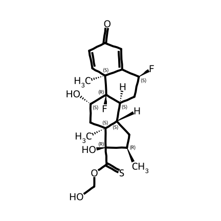 C[C@@H]1C[C@H]2[C@@H]3C[C@H](F)C4=CC(=O)C=C[C@]4(C)[C@@]3(F)[C@@H](O)C[C@]2(C)[C@@]1(O)C(=S)OCO